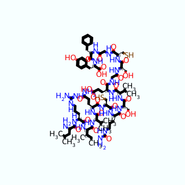 CC[C@H](C)[C@H](NC(=O)[C@H](CCCNC(=N)N)NC(=O)[C@@H](N)CC(C)C)C(=O)N[C@H](C(=O)N[C@@H](CCC(N)=O)C(=O)N[C@@H](CS)C(=O)N[C@@H](CCCNC(N)=O)C(=O)N[C@@H](CO)C(=O)N[C@H](C(=O)N[C@@H](CCC(=O)O)C(=O)NCC(=O)N[C@@H](CO)C(=O)N[C@@H](CS)C(=O)NCC(=O)N[C@@H](Cc1ccccc1)C(=O)N[C@@H](Cc1ccc(O)cc1)C(=O)O)C(C)C)C(C)C